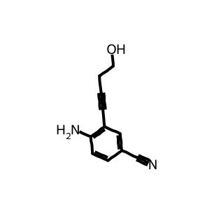 N#Cc1ccc(N)c(C#CCCO)c1